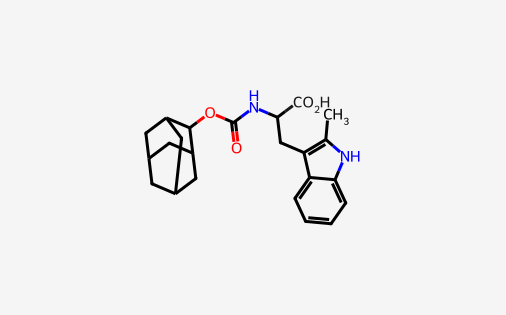 Cc1[nH]c2ccccc2c1CC(NC(=O)OC1C2CC3CC(C2)CC1C3)C(=O)O